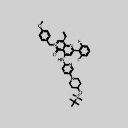 C=Cc1cn(Cc2ccc(OC)cc2)c(=O)c2c(Nc3ccc(N4CCC(O[Si](C)(C)C(C)(C)C)CC4)cn3)cc(-c3c(F)cccc3F)nc12